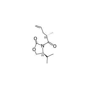 C=CC[C@H](C)C(=O)N1C(=O)OC[C@@H]1C(C)C